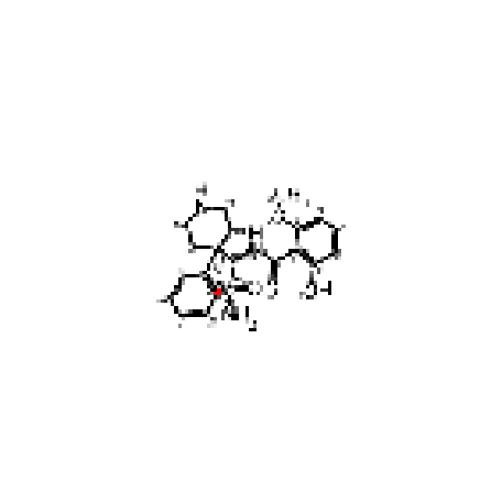 COc1cccc(O)c1C(=O)NC(C1(c2ccccc2)CCNCC1)S(N)(=O)=O